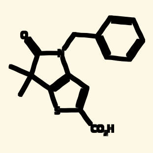 CC1(C)C(=O)N(Cc2ccccc2)c2cc(C(=O)O)sc21